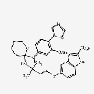 COc1cc(NC2(NC(C)(C)CCOc3ccc4[nH]c(C(=O)O)cc4c3)CCCCO2)ccc1-c1cnco1